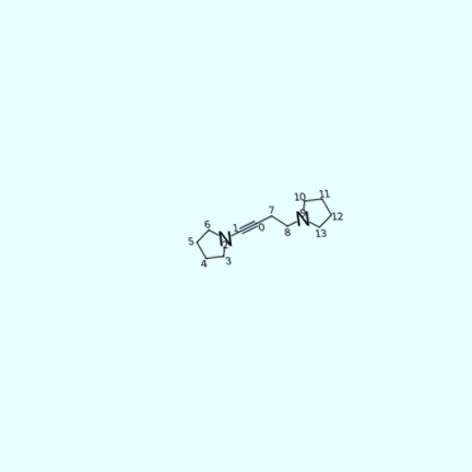 C(#CN1CCCC1)CCN1CCCC1